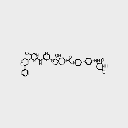 O=C1CCC(Nc2ccc(C3CCN(CC(=O)N4CCC5(CC4)CCN(c4cncc(Nc6ncc(Cl)c(N7CCOC(c8ccccc8)C7)n6)c4)C5O)CC3)cc2)C(=O)N1